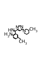 CCc1ccc(N)c(C(=N)c2cc(N3CCC[C@H](C)C3)ncn2)c1